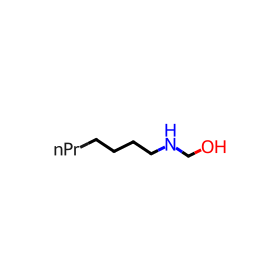 CCCCCCCNCO